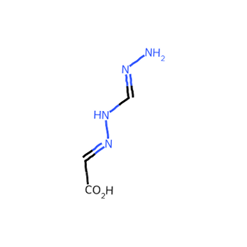 NN=CNN=CC(=O)O